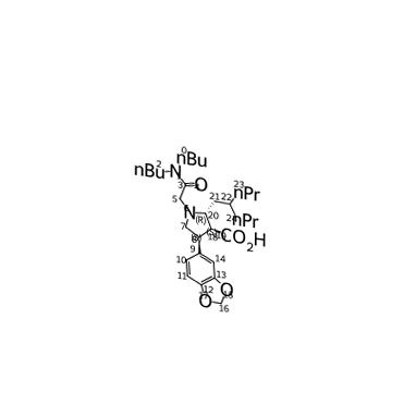 CCCCN(CCCC)C(=O)CN1C[C@H](c2ccc3c(c2)OCO3)[C@H](C(=O)O)[C@H]1CC(CCC)CCC